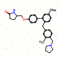 COc1ccc(Cc2ccc(CN3CCCC3)c(C)c2)c(-c2ccc(OCC3CCC(=O)N3)cc2)c1